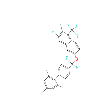 Cc1cc(C)c(-c2ccc(C(F)(F)Oc3ccc4c(C(F)(F)F)c(C)c(F)cc4c3)cc2)c(C)c1